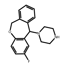 Fc1ccc2c(c1)C(N1CCNCC1)c1ccccc1CO2